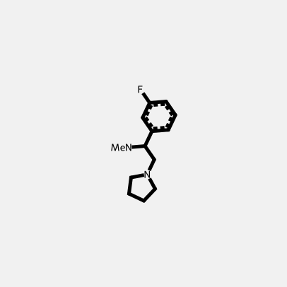 CNC(CN1CCCC1)c1cccc(F)c1